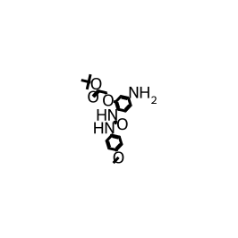 COc1ccc(NC(=O)Nc2ccc(N)cc2OCC(=O)OC(C)(C)C)cc1